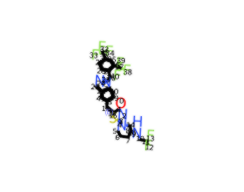 O=C1N=C(N2CCC[C@H](NCC(F)F)C2)S/C1=C/c1ccc2c(cnn2Cc2ccc(C(F)(F)F)cc2C(F)(F)F)c1